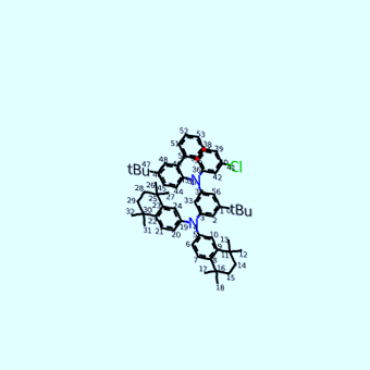 CC(C)(C)c1cc(N(c2ccc3c(c2)C(C)(C)CCC3(C)C)c2ccc3c(c2)C(C)(C)CCC3(C)C)cc(N(c2cccc(Cl)c2)c2ccc(C(C)(C)C)cc2-c2ccccc2)c1